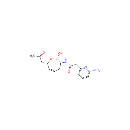 CC(=O)C[C@H]1C=CC[C@H](NC(=O)Cc2cccc(N)n2)B(O)O1